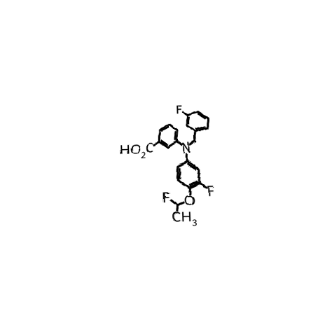 CC(F)Oc1ccc(N(Cc2cccc(F)c2)c2cccc(C(=O)O)c2)cc1F